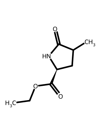 CCOC(=O)[C@@H]1CC(C)C(=O)N1